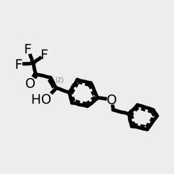 O=C(/C=C(\O)c1ccc(OCc2ccccc2)cc1)C(F)(F)F